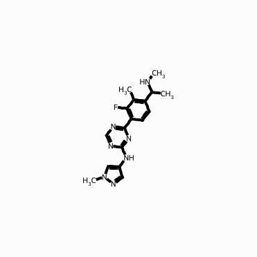 CNC(C)c1ccc(-c2ncnc(Nc3cnn(C)c3)n2)c(F)c1C